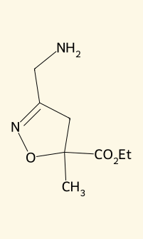 CCOC(=O)C1(C)CC(CN)=NO1